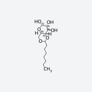 CCCCCCCC1OC[C@H]2O[C@H](O)[C@H](O)[C@@H](O)[C@@H]2O1